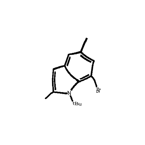 Cc1cc(Br)c2c(c1)cc(C)n2C(C)(C)C